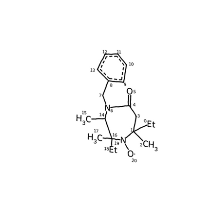 CCC1(C)CC(=O)N(Cc2ccccc2)C(C)C(C)(CC)N1[O]